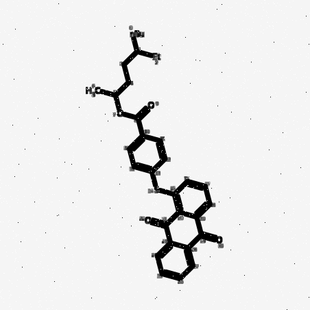 CCCCC(CC)CCC(C)OC(=O)c1ccc(Sc2cccc3c2C(=O)c2ccccc2C3=O)cc1